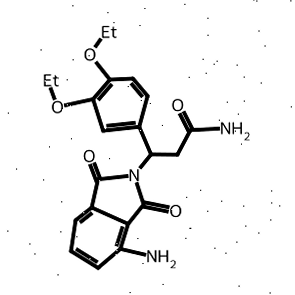 CCOc1ccc(C(CC(N)=O)N2C(=O)c3cccc(N)c3C2=O)cc1OCC